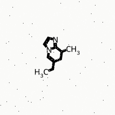 CCC1=Cn2ccnc2C(C)C1